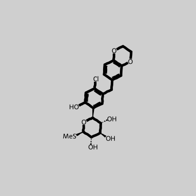 CS[C@H]1O[C@@H](c2cc(Cc3ccc4c(c3)OCCO4)c(Cl)cc2O)[C@H](O)[C@@H](O)[C@@H]1O